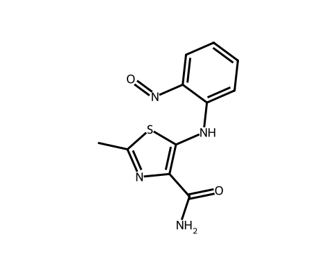 Cc1nc(C(N)=O)c(Nc2ccccc2N=O)s1